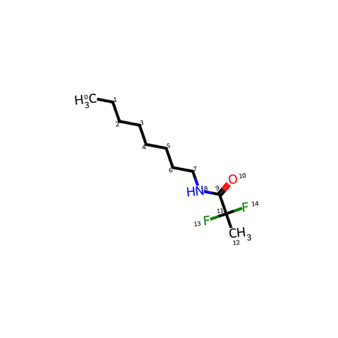 CCCCCCCCNC(=O)C(C)(F)F